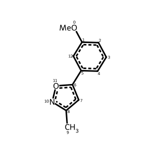 COc1cccc(-c2cc(C)no2)c1